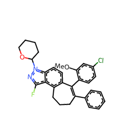 COc1cc(Cl)ccc1C1=C(c2ccccc2)CCCc2c1ccc1c2c(F)nn1C1CCCCO1